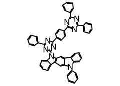 c1ccc(-c2nc(-c3ccccc3)nc(-c3ccc(-c4nc(-c5ccccc5)nc(-n5c6ccccc6c6cc7c(cc65)c5ccccc5n7-c5ccccc5)n4)cc3)n2)cc1